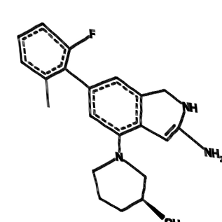 Cc1cccc(F)c1-c1cc2c(c(N3CCC[C@H](O)C3)c1)C=C(N)NC2